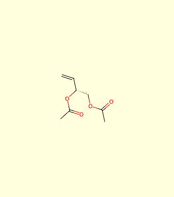 C=C[C@H](COC(C)=O)OC(C)=O